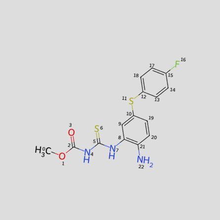 COC(=O)NC(=S)Nc1cc(Sc2ccc(F)cc2)ccc1N